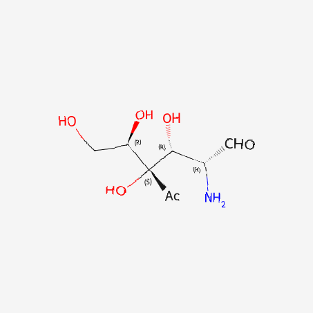 CC(=O)[C@@](O)([C@H](O)CO)[C@H](O)[C@@H](N)C=O